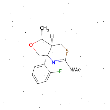 CNC1=N[C@@]2(c3ccccc3F)CO[C@H](C)[C@H]2CS1